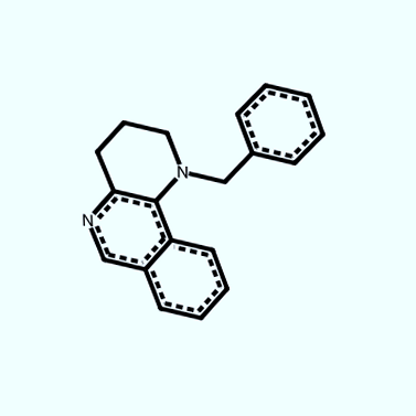 c1ccc(CN2CCCc3ncc4ccccc4c32)cc1